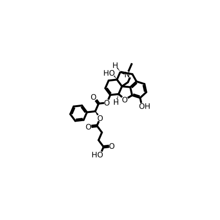 CN1CCC23c4c5ccc(O)c4O[C@H]2C(OC(=O)[C@@H](OC(=O)CCC(=O)O)c2ccccc2)=CC[C@@]3(O)[C@H]1C5